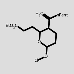 C=C(CCCCC)C1CCC(OCl)OC1CCC(=O)OCC